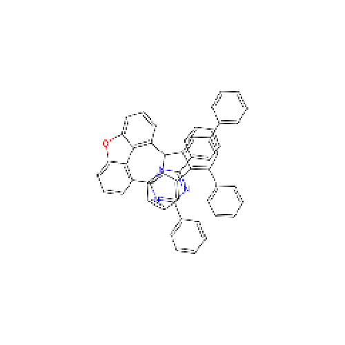 c1ccc(-c2cc(-c3ccccc3)c3c(c2)C(c2cccc4oc5cccc(-c6nc(-c7ccccc7)nc(-c7ccccc7)n6)c5c24)c2ccccc2-3)cc1